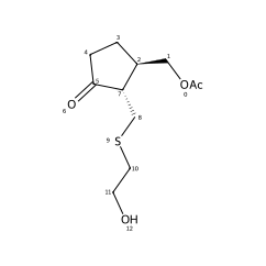 CC(=O)OC[C@@H]1CCC(=O)[C@H]1CSCCO